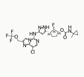 CC1(NC(=O)O[C@@H]2CC[C@H](c3cc(Nc4ncc(Cl)c5nc(COC(F)(F)F)cn45)n[nH]3)[C@H]2F)CC1